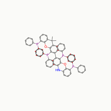 CC1(C)c2cccc(P(c3ccccc3)c3ccccc3)c2Oc2c1ccc(-c1ccc3c(c1P(c1ccccc1)c1ccccc1)Oc1c(cccc1P(c1ccccc1)c1ccccc1)N3)c2P(c1ccccc1)c1ccccc1